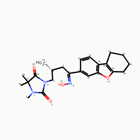 CN1C(=O)N(C[C@@H](CC(=NO)c2ccc3c4c(oc3c2)CCCC4)C(=O)O)C(=O)C1(C)C